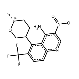 C[C@@H]1CCC(c2c(C(F)(F)F)ccc3ncc([N+](=O)[O-])c(N)c23)CO1